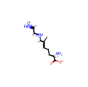 C/C(=C\CC[C@H](N)C(=O)O)CNCC=N